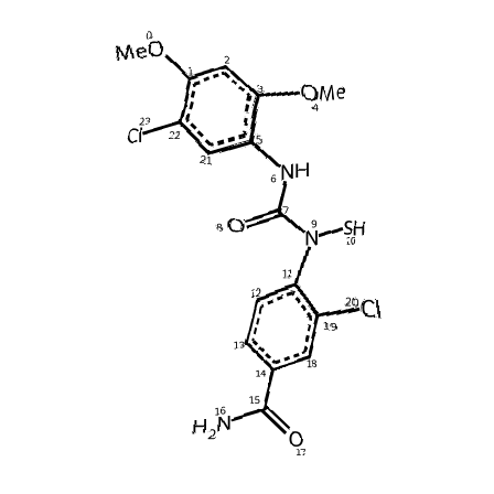 COc1cc(OC)c(NC(=O)N(S)c2ccc(C(N)=O)cc2Cl)cc1Cl